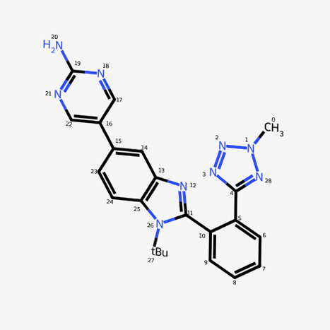 Cn1nnc(-c2ccccc2-c2nc3cc(-c4cnc(N)nc4)ccc3n2C(C)(C)C)n1